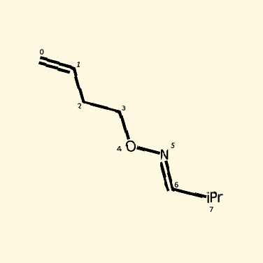 C=CCCO/N=[C]/C(C)C